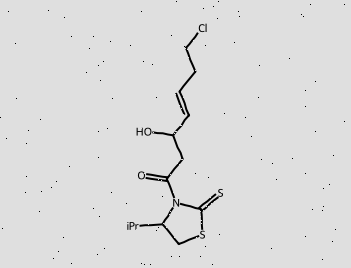 CC(C)C1CSC(=S)N1C(=O)CC(O)C=CCCCl